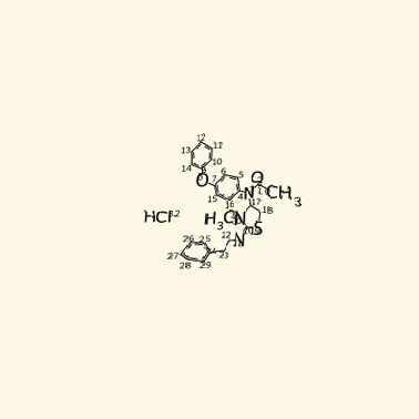 CC(=O)N(c1ccc(Oc2ccccc2)cc1)C1CSC(=NCCc2ccccc2)N1C.Cl